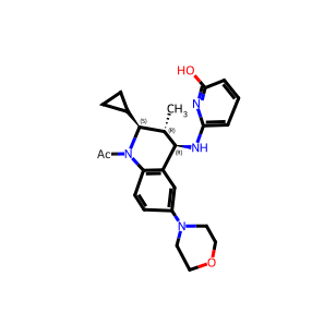 CC(=O)N1c2ccc(N3CCOCC3)cc2[C@H](Nc2cccc(O)n2)[C@@H](C)[C@@H]1C1CC1